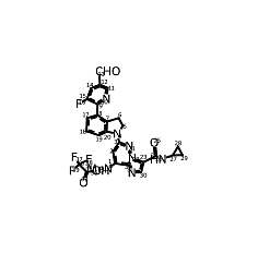 CNc1cc(N2CCc3c(-c4ncc(C=O)cc4F)cccc32)nn2c(C(=O)NC3CC3)cnc12.O=C(O)C(F)(F)F